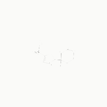 CC1(c2ncc(C(=O)O)s2)CCOCC1